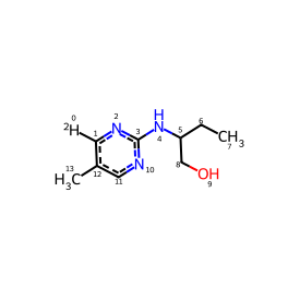 [2H]c1nc(NC(CC)CO)ncc1C